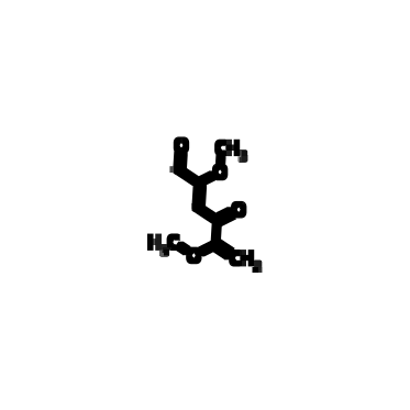 C=C(OC)C(=O)C=C([C]=O)OC